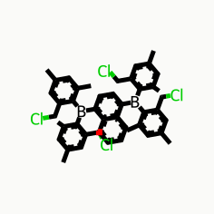 Cc1cc(C)c(B(c2c(C)cc(C)cc2CCl)c2ccc(B(c3c(C)cc(C)cc3CCl)c3c(C)cc(C)cc3CCl)c3ccccc23)c(CCl)c1